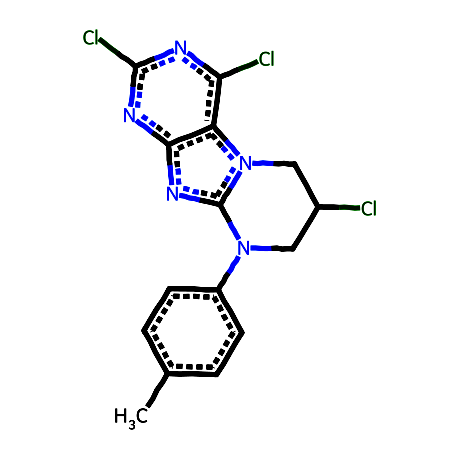 Cc1ccc(N2CC(Cl)Cn3c2nc2nc(Cl)nc(Cl)c23)cc1